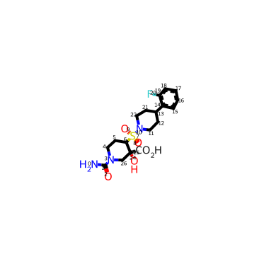 NC(=O)N1CCC(S(=O)(=O)N2CCC(c3ccccc3F)CC2)C(O)(C(=O)O)C1